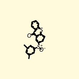 Cc1cc(C)cc([S+]([O-])c2ccc3sc4ccccc4c(=O)c3c2)c1